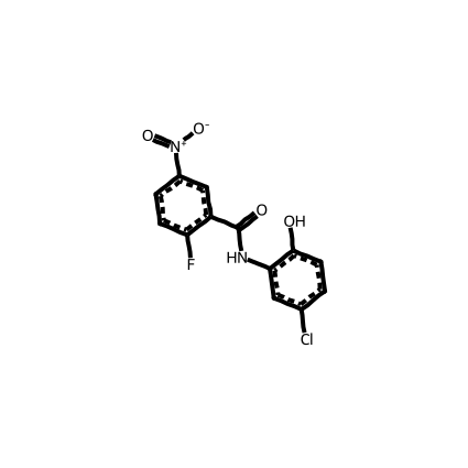 O=C(Nc1cc(Cl)ccc1O)c1cc([N+](=O)[O-])ccc1F